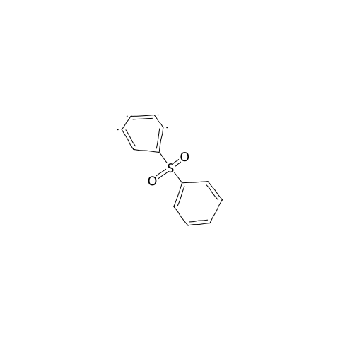 O=S(=O)(c1[c][c][c][c]c1)c1ccccc1